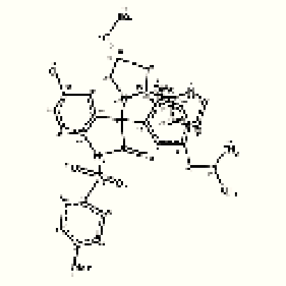 COc1ccc(S(=O)(=O)N2C(=O)C(c3cc(CN(C)C)ccc3OC)(N3C[C@H](OC(C)(C)C)C[C@H]3c3ncco3)c3cc(Cl)ccc32)cc1